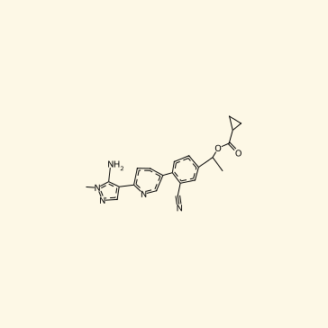 CC(OC(=O)C1CC1)c1ccc(-c2ccc(-c3cnn(C)c3N)nc2)c(C#N)c1